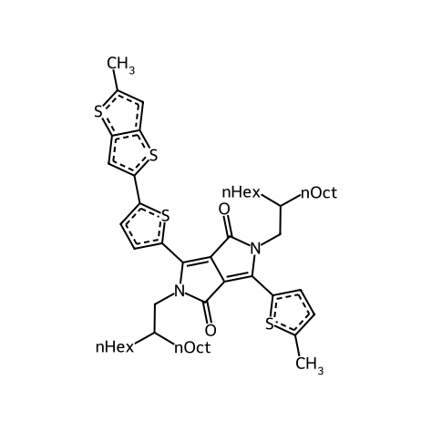 CCCCCCCCC(CCCCCC)CN1C(=O)C2=C(c3ccc(-c4cc5sc(C)cc5s4)s3)N(CC(CCCCCC)CCCCCCCC)C(=O)C2=C1c1ccc(C)s1